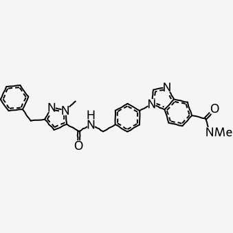 CNC(=O)c1ccc2c(c1)ncn2-c1ccc(CNC(=O)c2cc(Cc3ccccc3)nn2C)cc1